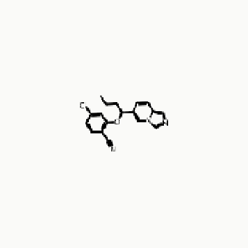 CCCC(Oc1cc(Cl)ccc1C#N)c1ccc2cncn2c1